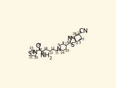 N#Cc1ccc2sc(C3CCN(CCCCC(N)C(=O)N4CCSC4)CC3)nc2c1